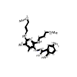 COCCCNc1nc(NCCCOC)c(/N=N/C(S)=C2\C=C(N)C=CC2=N)c(C)c1C#N